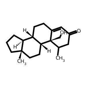 CC1CC(=O)C=C2CC[C@@H]3[C@@H](CC[C@]4(C)CCC[C@@H]34)[C@]21CO